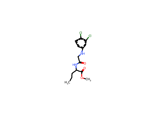 CCCC(NC(=O)CNc1ccc(Cl)c(Cl)c1)C(=O)OC